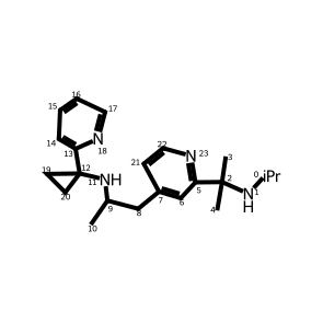 CC(C)NC(C)(C)c1cc(CC(C)NC2(c3ccccn3)CC2)ccn1